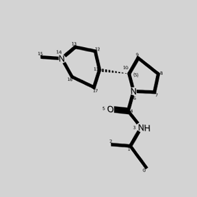 CC(C)NC(=O)N1CCC[C@H]1C1CCN(C)CC1